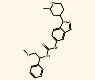 COCC(NC(=O)Nc1cc2cnn(C3CCNC(C)C3)c2cn1)c1ccccc1